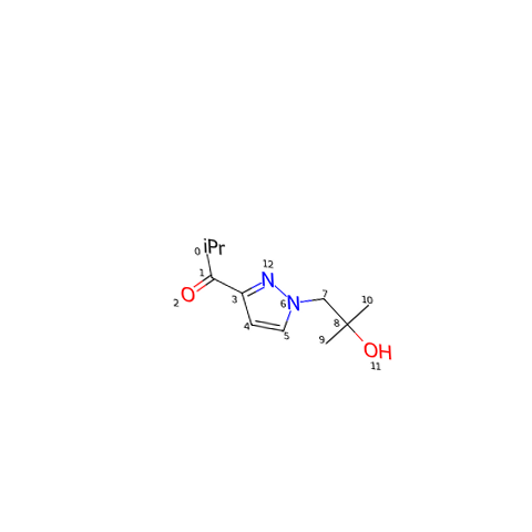 CC(C)C(=O)c1ccn(CC(C)(C)O)n1